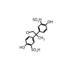 CC(CCl)(c1ccc(O)c(S(=O)(=O)O)c1)c1ccc(O)c(S(=O)(=O)O)c1